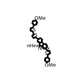 CCCCCCC1(CCCCCC)c2cc(-c3ccc(-c4ccc(OC)cc4)s3)ccc2-c2ccc(-c3ccc(-c4ccc(-c5ccc(OC)cc5)s4)s3)cc21